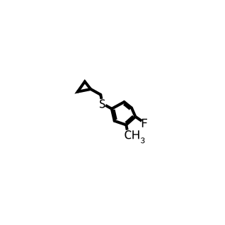 Cc1cc(SCC2CC2)ccc1F